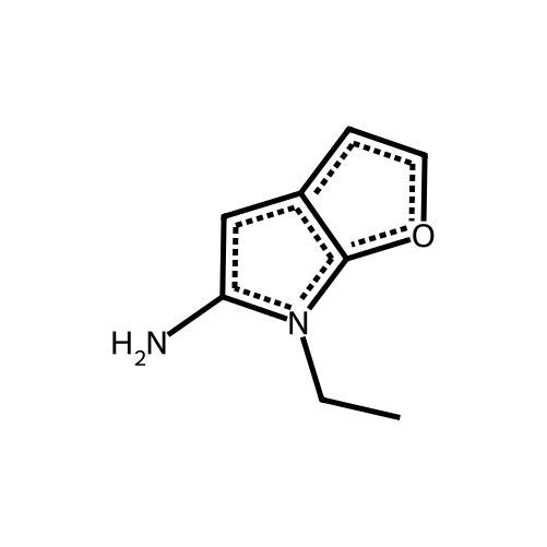 CCn1c(N)cc2ccoc21